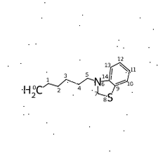 [CH2]CCCCCN1CSc2ccccc21